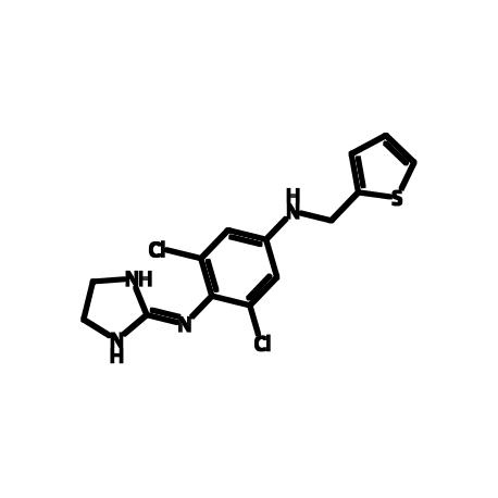 Clc1cc(NCc2cccs2)cc(Cl)c1N=C1NCCN1